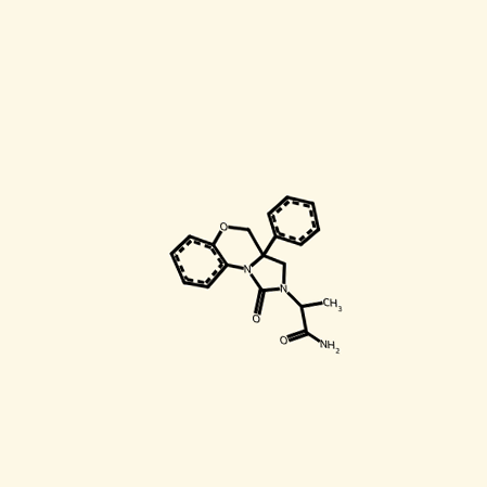 CC(C(N)=O)N1CC2(c3ccccc3)COc3ccccc3N2C1=O